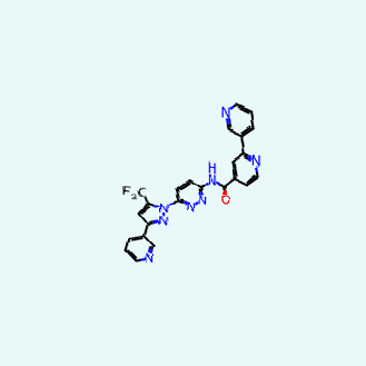 O=C(Nc1ccc(-n2nc(-c3cccnc3)cc2C(F)(F)F)nn1)c1ccnc(-c2cccnc2)c1